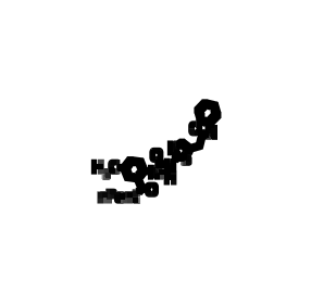 CCCCCC(=O)c1cc(C)ccc1NC(=O)Nc1ncc(Cc2nc3ccccc3o2)s1